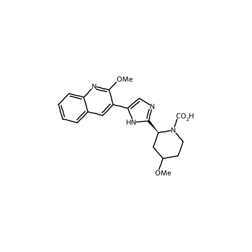 COc1nc2ccccc2cc1-c1cnc([C@@H]2CC(OC)CCN2C(=O)O)[nH]1